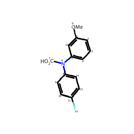 COc1cccc(N(C(=O)O)c2ccc(F)cc2)c1